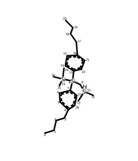 CCCCc1ccc([Si](C[SiH](C)C)(c2ccc(CCCC)cc2)[Si](C)(C)C)cc1